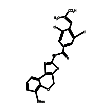 CCCCCCc1cccc2c1OCc1sc(NC(=O)c3cc(Cl)c(C=C(C)C(=O)O)c(Cl)c3)nc1-2